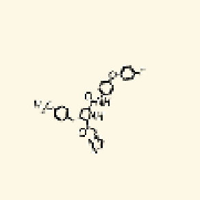 Cc1ccc(C[C@@H]2C[C@@H](C(=O)Nc3ccc(Oc4ccc(F)cc4)cc3)NC2C(=O)Cn2ccnn2)cc1